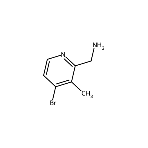 Cc1c(Br)ccnc1CN